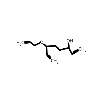 C=CCOC(C=C)CCC(O)C=C